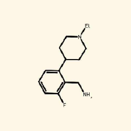 CCN1CCC(c2cccc(F)c2CN)CC1